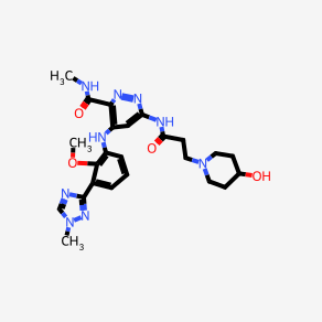 CNC(=O)c1nnc(NC(=O)CCN2CCC(O)CC2)cc1Nc1cccc(-c2ncn(C)n2)c1OC